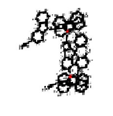 N#Cc1ccc2c(c1)c1ccccc1n2-c1ccc2c(c1)C1(c3cc(-n4c5ccccc5c5cc(-n6c7ccccc7c7cc(C#N)ccc76)ccc54)ccc3O2)c2cc(-n3c4ccccc4c4ccccc43)cnc2-c2ncc(-n3c4ccccc4c4ccccc43)cc21